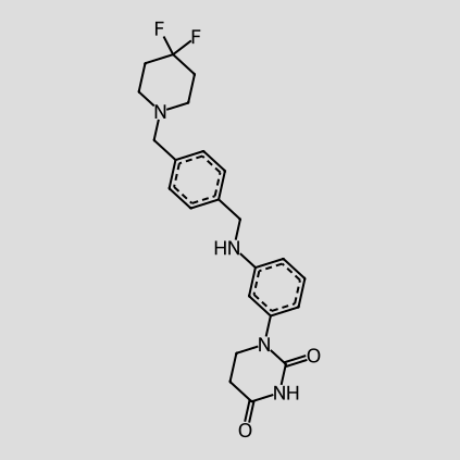 O=C1CCN(c2cccc(NCc3ccc(CN4CCC(F)(F)CC4)cc3)c2)C(=O)N1